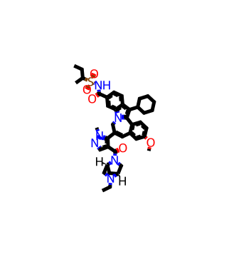 CCC(C)S(=O)(=O)NC(=O)c1ccc2c(C3CCCCC3)c3n(c2c1)CC(c1c(C(=O)N2C[C@@H]4C[C@H]2CN4CC)cnn1C)=Cc1cc(OC)ccc1-3